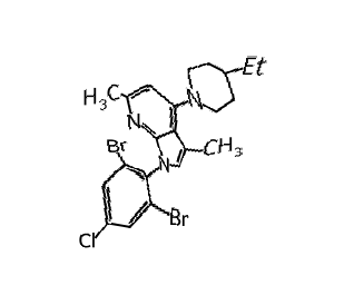 CCC1CCN(c2cc(C)nc3c2c(C)cn3-c2c(Br)cc(Cl)cc2Br)CC1